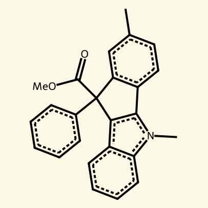 COC(=O)C1(c2ccccc2)c2cc(C)ccc2-c2c1c1ccccc1n2C